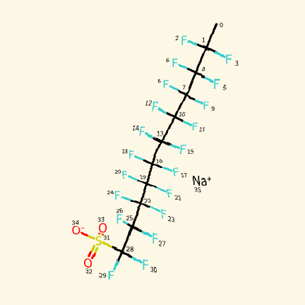 CC(F)(F)C(F)(F)C(F)(F)C(F)(F)C(F)(F)C(F)(F)C(F)(F)C(F)(F)C(F)(F)C(F)(F)S(=O)(=O)[O-].[Na+]